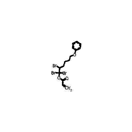 C=CC(=O)OC(Br)(Br)C(Br)CCCCOc1ccccc1